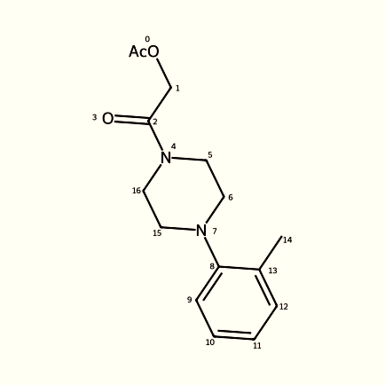 CC(=O)OCC(=O)N1CCN(c2ccccc2C)CC1